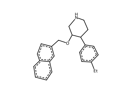 [CH2]Cc1ccc(C2CCNCC2OCc2ccc3ccccc3c2)cc1